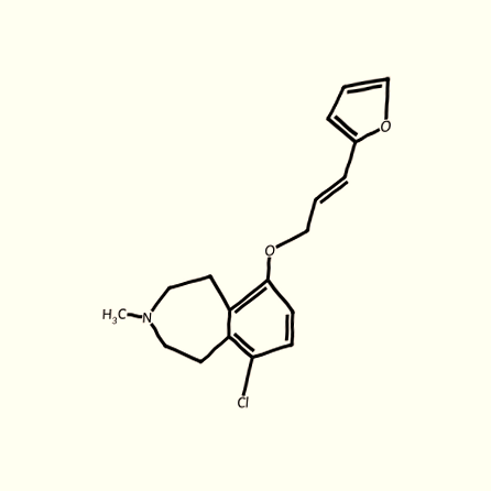 CN1CCc2c(Cl)ccc(OC/C=C/c3ccco3)c2CC1